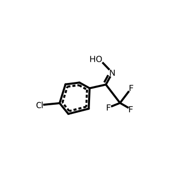 O/N=C(\c1ccc(Cl)cc1)C(F)(F)F